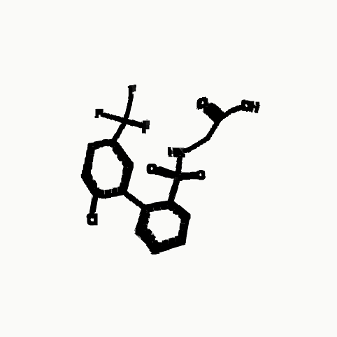 O=C(O)CNS(=O)(=O)c1ccccc1-c1cc(C(F)(F)F)ccc1Cl